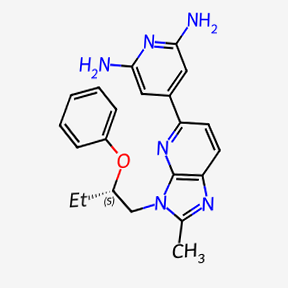 CC[C@@H](Cn1c(C)nc2ccc(-c3cc(N)nc(N)c3)nc21)Oc1ccccc1